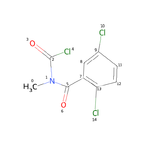 CN(C(=O)Cl)C(=O)c1cc(Cl)ccc1Cl